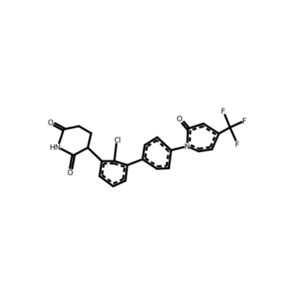 O=C1CCC(c2cccc(-c3ccc(-n4ccc(C(F)(F)F)cc4=O)cc3)c2Cl)C(=O)N1